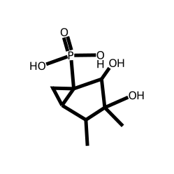 CC1C2CC2(P(=O)(O)O)C(O)C1(C)O